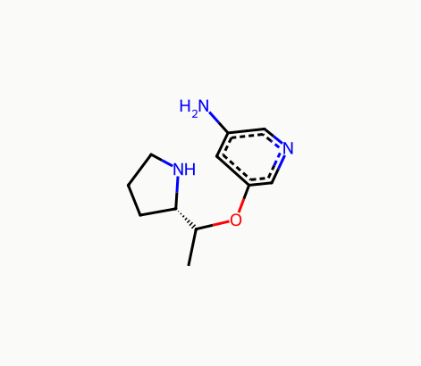 CC(Oc1cncc(N)c1)[C@@H]1CCCN1